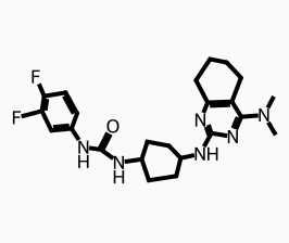 CN(C)c1nc(NC2CCC(NC(=O)Nc3ccc(F)c(F)c3)CC2)nc2c1CCCC2